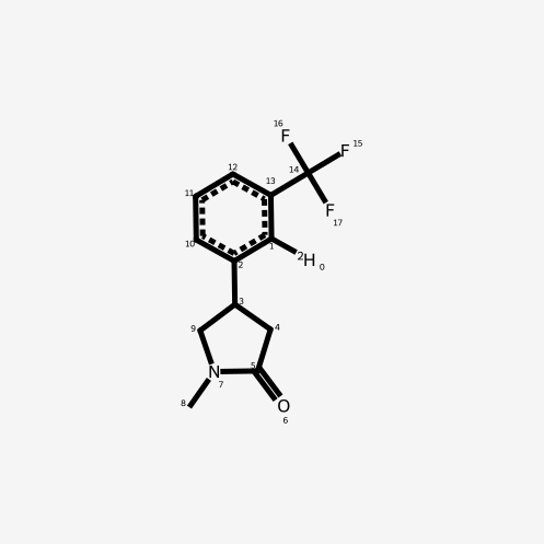 [2H]c1c(C2CC(=O)N(C)C2)cccc1C(F)(F)F